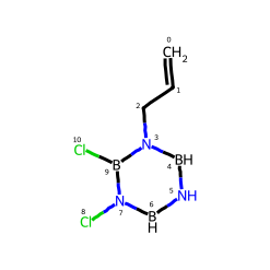 C=CCN1BNBN(Cl)B1Cl